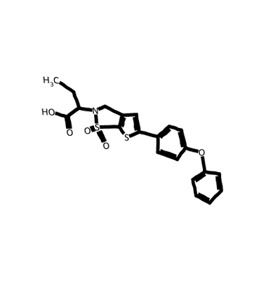 CCC(C(=O)O)N1Cc2cc(-c3ccc(Oc4ccccc4)cc3)sc2S1(=O)=O